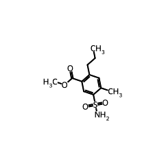 CCCc1cc(C)c(S(N)(=O)=O)cc1C(=O)OC